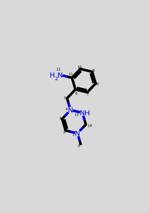 CN1C=CN(Cc2ccccc2N)NC1